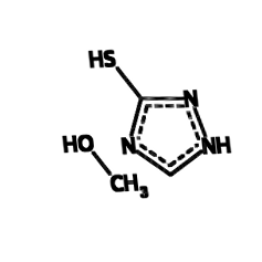 CO.Sc1nc[nH]n1